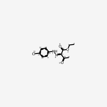 CCOC(=O)C(=NNc1ccc(Cl)cc1)C(C)=O